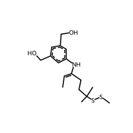 CC=C(CCC(C)(C)SSC)Nc1cc(CO)cc(CO)c1